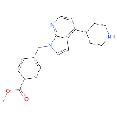 COC(=O)c1ccc(Cn2ccc3c(C4CCNCC4)ccnc32)cc1